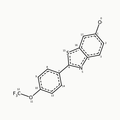 [O]c1ccc2nc(-c3ccc(OC(F)(F)F)cc3)sc2c1